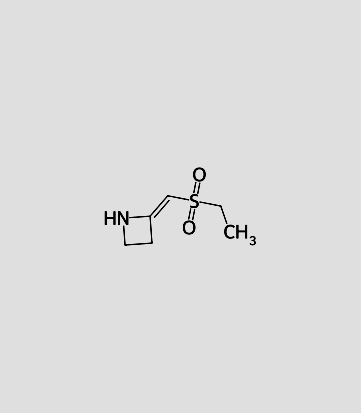 CCS(=O)(=O)C=C1CCN1